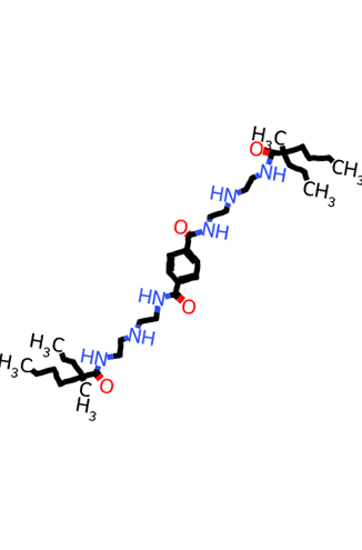 CCCCC(C)(CCC)C(=O)NCCNCCNC(=O)c1ccc(C(=O)NCCNCCNC(=O)C(C)(CCC)CCCC)cc1